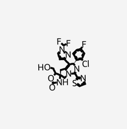 O=C1N[C@]2(CC3=C(c4ccn(C(F)F)n4)[C@H](c4ccc(F)cc4Cl)N=C(c4nccs4)N3C2)C(CO)O1